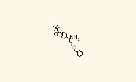 CC(C)(C)OC(=O)N1CCC(C(N)CCCOCc2ccccc2)CC1